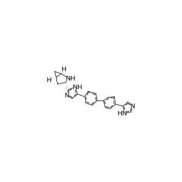 c1ncc(-c2ccc(-c3ccc(-c4cnc([C@@H]5C[C@H]6C[C@H]6N5)[nH]4)cc3)cc2)[nH]1